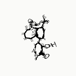 Cn1ncc(-c2ccc(C(F)(F)F)c3c2CCCCS3(=O)=O)c(O)c1=O